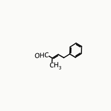 CC(C=O)=CCc1ccccc1